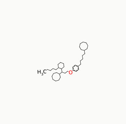 CCCCCC1CCCCC1C(CCOc1ccc(CCCCCC2CCCCCCC2)cc1)C1CCCCCCC1